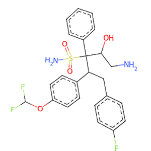 NCC(O)C(c1ccccc1)(C(Cc1ccc(F)cc1)c1ccc(OC(F)F)cc1)S(N)(=O)=O